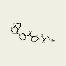 C[C@@H]1[C@H](NC(=O)OC(C)(C)C)CCCN1C(=O)C1=CN(c2ncnc3[nH]ccc23)CCS1